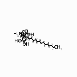 CCCCCCCCCCCCCCC[N+](CCO)(CCO)C(C(=O)O)[N+](C)(C)C